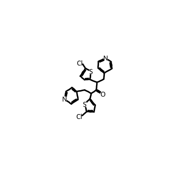 O=C(C(Cc1ccncc1)c1ccc(Cl)s1)C(Cc1ccncc1)c1ccc(Cl)s1